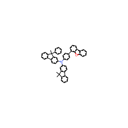 CC1(C)c2ccccc2-c2ccc(N(c3ccc(-c4cccc5c4oc4ccccc45)cc3)c3ccc4c(c3)C(C)(c3ccccc3)c3ccccc3-4)cc21